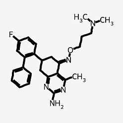 Cc1nc(N)nc2c1/C(=N/OCCCN(C)C)CC(c1ccc(F)cc1-c1ccccc1)C2